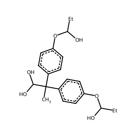 CCC(O)Oc1ccc(C(C)(c2ccc(OC(O)CC)cc2)C(O)O)cc1